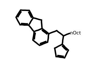 CCCCCCCCC(Cc1cccc2c1Cc1ccccc1-2)C1=CC=CC1